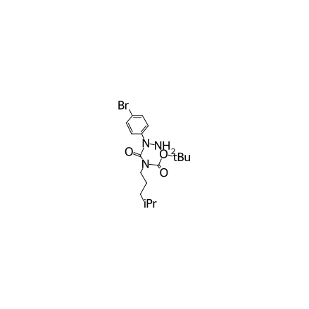 CC(C)CCCN(C(=O)OC(C)(C)C)C(=O)N(N)c1ccc(Br)cc1